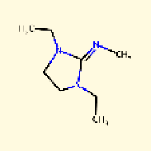 CCN1CCN(CC)C1=NC